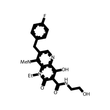 CCn1c(=O)c(C(=O)NCCO)c(O)c2ncc(Cc3ccc(F)cc3)c(NC)c21